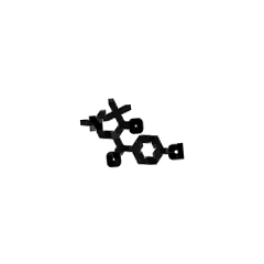 CN(C)C=C(C(=O)c1ccc(Cl)cc1)C(=O)C(C)(C)C